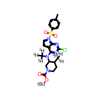 [2H]C([2H])([2H])C1CCN(C(=O)OC(C)(C)C)CC1N(c1nc(Cl)nc2c1ccn2S(=O)(=O)c1ccc(C)cc1)C([2H])([2H])[2H]